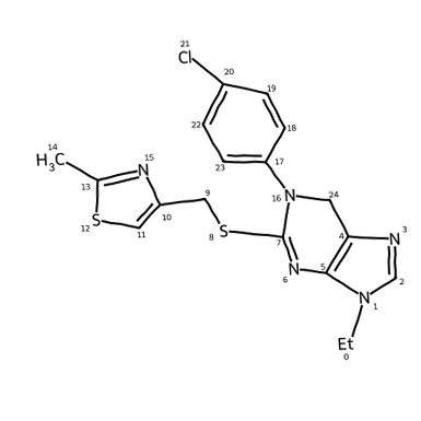 CCn1cnc2c1N=C(SCc1csc(C)n1)N(c1ccc(Cl)cc1)C2